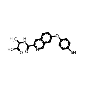 CC(NC(=O)c1cc2ccc(Oc3ccc(S)cc3)cc2cn1)C(=O)O